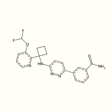 NC(=O)c1cccc(-c2ccc(NC3(c4ncccc4OC(F)F)CCC3)nn2)c1